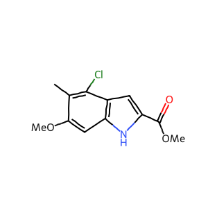 COC(=O)c1cc2c(Cl)c(C)c(OC)cc2[nH]1